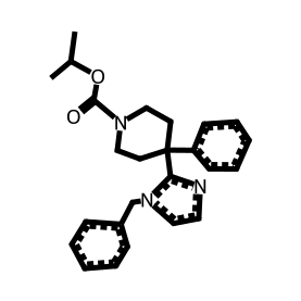 CC(C)OC(=O)N1CCC(c2ccccc2)(c2nccn2Cc2ccccc2)CC1